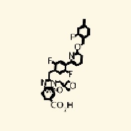 COC1(Cn2c(Cc3cc(F)c(-c4cccc(OCc5ccc(C)cc5F)n4)cc3F)nc3ccc(C(=O)O)cc32)COC1